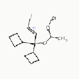 CCOC(C)OC(/C=C/I)(C1CCC1)C1CCC1